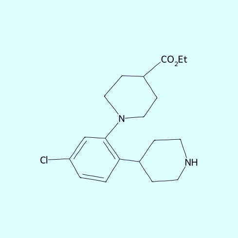 CCOC(=O)C1CCN(c2cc(Cl)ccc2C2CCNCC2)CC1